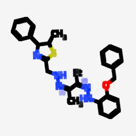 CCC(=N/Nc1ccccc1OCc1ccccc1)/C(C)=N\NCC1=NC(c2ccccc2)C(C)S1